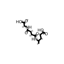 CC(CCC(=O)O)NC(=O)CCC(=O)NCC(=O)O